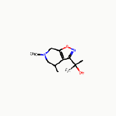 CC1CN(C=O)Cc2onc(C(C)(O)C(F)(F)F)c21